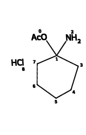 CC(=O)OC1(N)CCCCC1.Cl